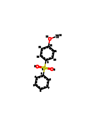 O=S(=O)(c1ccccc1)c1ccc([O][Ti])cc1